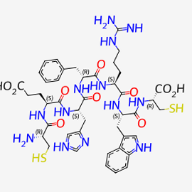 N=C(N)NCCC[C@H](NC(=O)[C@@H](Cc1ccccc1)NC(=O)[C@H](Cc1c[nH]cn1)NC(=O)[C@H](CCC(=O)O)NC(=O)[C@@H](N)CS)C(=O)N[C@@H](Cc1c[nH]c2ccccc12)C(=O)N[C@@H](CS)C(=O)O